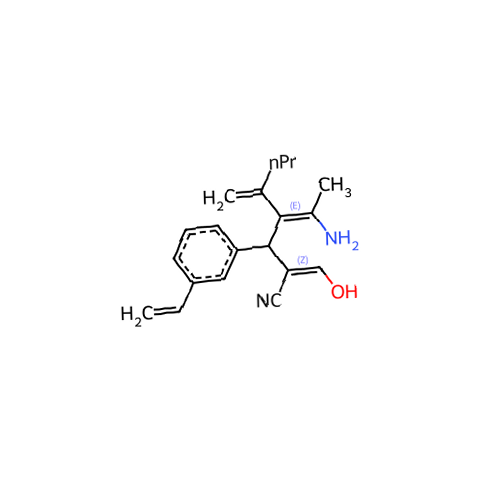 C=Cc1cccc(C(/C(C#N)=C/O)/C(C(=C)CCC)=C(/C)N)c1